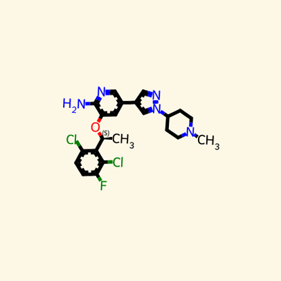 C[C@H](Oc1cc(-c2cnn(C3CCN(C)CC3)c2)cnc1N)c1c(Cl)ccc(F)c1Cl